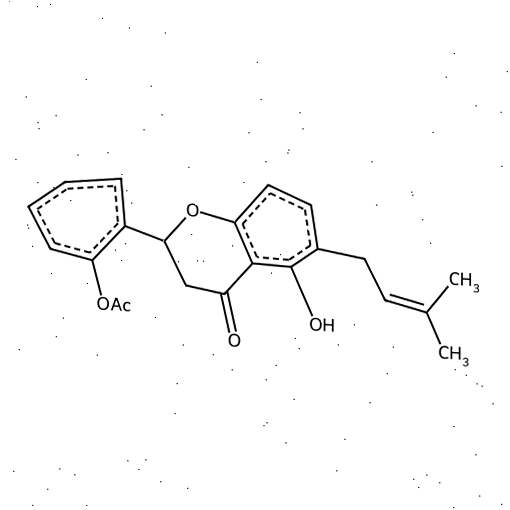 CC(=O)Oc1ccccc1C1CC(=O)c2c(ccc(CC=C(C)C)c2O)O1